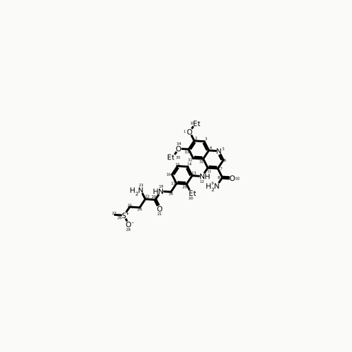 CCOc1cc2ncc(C(N)=O)c(Nc3cccc(CNC(=O)C(N)CC[S+](C)[O-])c3CC)c2cc1OCC